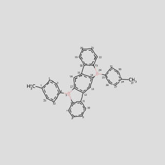 Cc1ccc(B2c3ccccc3-c3cc4c(cc32)-c2ccccc2B4c2ccc(C)cc2)cc1